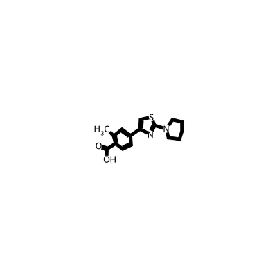 Cc1cc(-c2csc(N3CCCCC3)n2)ccc1C(=O)O